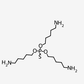 NCCCCCOP(=S)(OCCCCCN)OCCCCCN